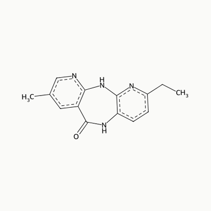 CCc1ccc2c(n1)Nc1ncc(C)cc1C(=O)N2